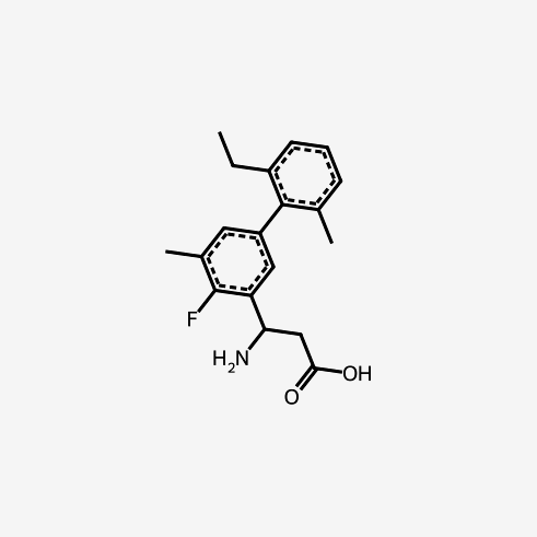 CCc1cccc(C)c1-c1cc(C)c(F)c(C(N)CC(=O)O)c1